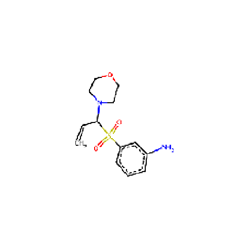 C=CC(N1CCOCC1)S(=O)(=O)c1cccc(N)c1